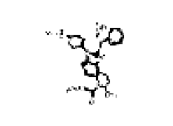 COC(=O)N1c2ccc3c(nc([C@H](CO)c4ccccc4)n3C3CCC(C(=O)O)CC3)c2CCC1C